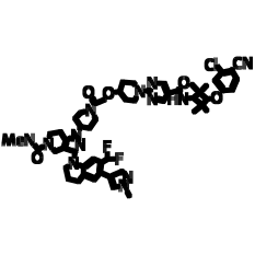 CNC(=O)N1CCc2c(c(N3CCCc4cc(-c5cnn(C)c5)c(C(F)F)cc43)nn2C2CCN(C(=O)COC3CCN(c4ncc(C(=O)NC5C(C)(C)C(Oc6ccc(C#N)c(Cl)c6)C5(C)C)cn4)CC3)CC2)C1